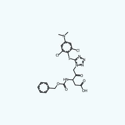 CN(C)c1cc(Cl)c(Sc2nnnn2CC(=O)C(CC(=O)O)NC(=O)OCc2ccccc2)c(Cl)c1